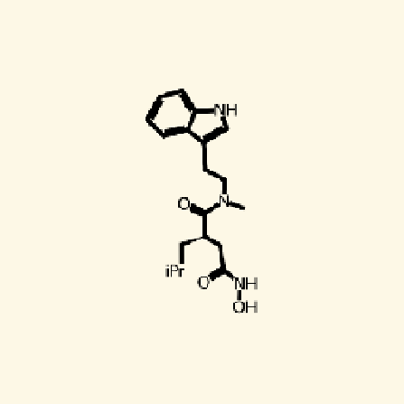 CC(C)C[C@H](CC(=O)NO)C(=O)N(C)CCc1c[nH]c2ccccc12